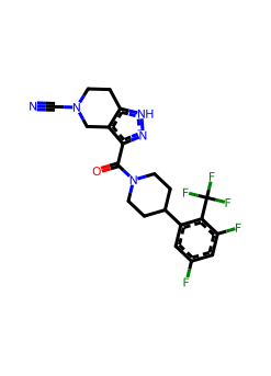 N#CN1CCc2[nH]nc(C(=O)N3CCC(c4cc(F)cc(F)c4C(F)(F)F)CC3)c2C1